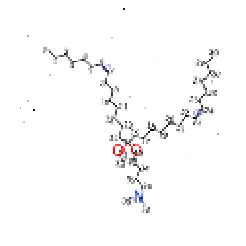 CCCCCC/C=C\CCCCCCCC1(CCCCCCC/C=C\CCCCCC)OCC(CCCN(C)C)O1